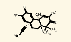 [C-]#[N+]C1=C[C@]2(C)C3=CC(=O)C(C#N)=C[C@]3(C#CC#N)CC[C@H]2C(C)(C)C1=O